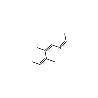 C\C=N/C=C(C)\C(C)=C/C